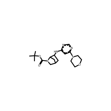 CC(C)(C)OC(=O)N1CC2CC(Nc3cc(N4CCOCC4)ncn3)C1C2